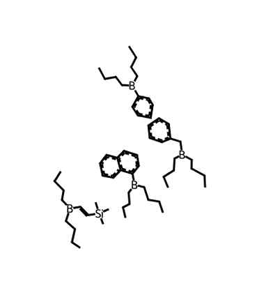 CCCCB(C=C[Si](C)(C)C)CCCC.CCCCB(CCCC)Cc1ccccc1.CCCCB(CCCC)c1cccc2ccccc12.CCCCB(CCCC)c1ccccc1